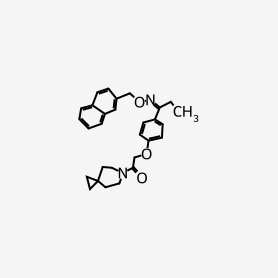 CC/C(=N/OCc1ccc2ccccc2c1)c1ccc(OCC(=O)N2CCC3(CC2)CC3)cc1